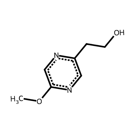 COc1cnc(CCO)cn1